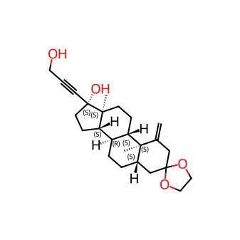 C=C1CC2(C[C@@H]3CC[C@@H]4[C@H](CC[C@@]5(C)[C@H]4CC[C@@]5(O)C#CCO)[C@@]13C)OCCO2